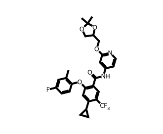 Cc1cc(F)ccc1Oc1cc(C2CC2)c(C(F)(F)F)cc1C(=O)Nc1ccnc(OCC2COC(C)(C)O2)c1